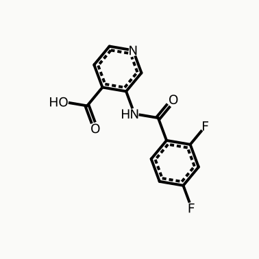 O=C(Nc1cnccc1C(=O)O)c1ccc(F)cc1F